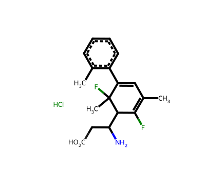 CC1=C(F)C(C(N)CC(=O)O)C(C)(F)C(c2ccccc2C)=C1.Cl